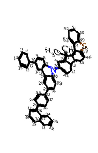 CC1(C)c2cc(-n3c4ccc(-c5ccccc5)cc4c4cc(-c5ccc(-c6cccc7ccccc67)cc5)ccc43)ccc2-c2ccc3sc4ccccc4c3c21